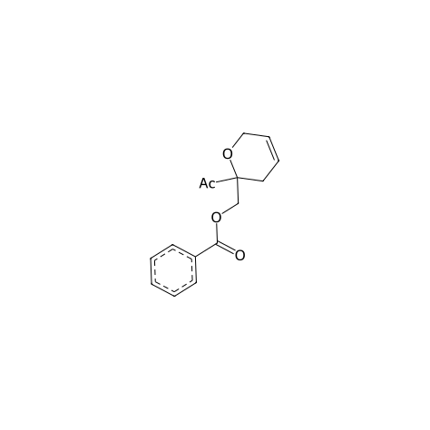 CC(=O)C1(COC(=O)c2ccccc2)CC=CCO1